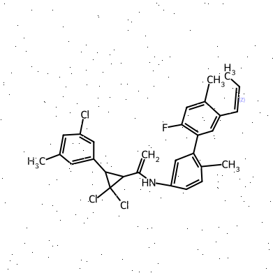 C=C(Nc1ccc(C)c(-c2cc(/C=C\C)c(C)cc2F)c1)C1C(c2cc(C)cc(Cl)c2)C1(Cl)Cl